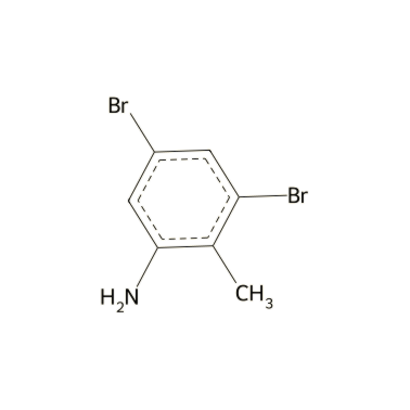 Cc1c(N)cc(Br)cc1Br